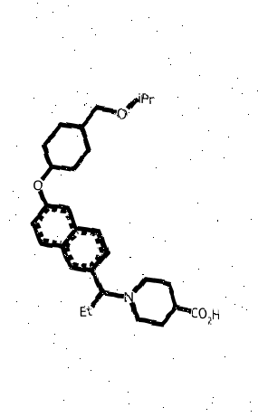 CCC(c1ccc2cc(OC3CCC(COC(C)C)CC3)ccc2c1)N1CCC(C(=O)O)CC1